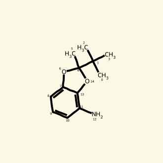 CC(C)(C)C1(C)Oc2cccc(N)c2O1